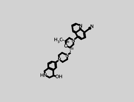 C[C@@H]1CN(c2ccc(C#N)c3ncccc23)C[C@H](CN2CCN(c3ccc4c(c3)C(O)CNC4)CC2)O1